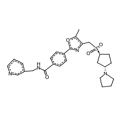 Cc1oc(-c2ccc(C(=O)NCc3cccnc3)cc2)nc1CS(=O)(=O)[C@H]1CC[C@H](N2CCCC2)C1